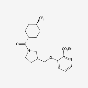 CCOC(=O)c1ncccc1OCC1CCN(C(=O)[C@H]2CC[C@H](C(F)(F)F)CC2)C1